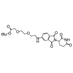 CC(C)(C)OC(=O)COCCOCCNc1ccc2c(c1)C(=O)N(C1CCC(=O)NC1=O)C2=O